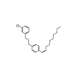 CCCCCCCC/C=C\c1ccc([CH]CCc2cccc(Cl)c2)cc1